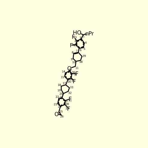 CCCC(O)c1ccc(C2=CCC(COc3ccc(C4CCC(c5ccc(C6CO6)c(F)c5F)CC4)c(F)c3F)CC2)c(F)c1F